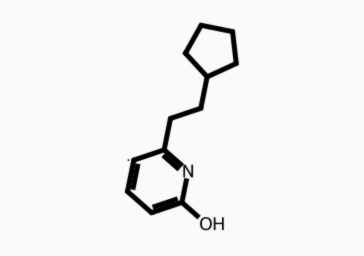 Oc1cc[c]c(CCC2CCCC2)n1